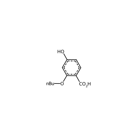 CCCCOc1cc(O)ccc1C(=O)O